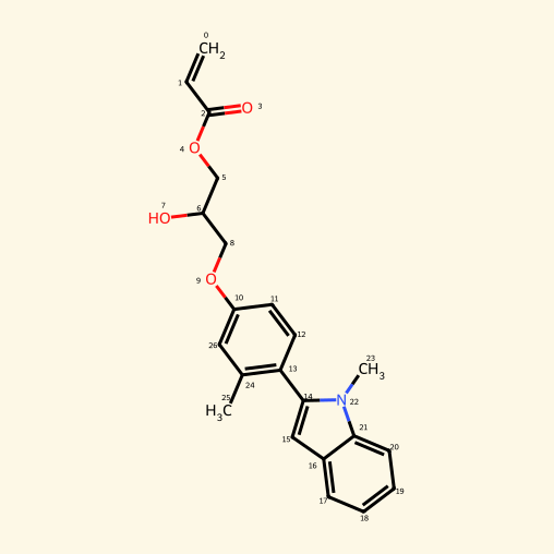 C=CC(=O)OCC(O)COc1ccc(-c2cc3ccccc3n2C)c(C)c1